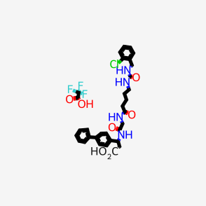 O=C(O)C(F)(F)F.O=C(O)CC(NC(=O)CNC(=O)CCCCNC(=O)NCc1ccccc1Cl)c1ccc(-c2ccccc2)cc1